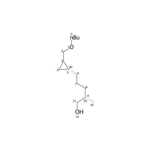 CCCCOCC1C[C@H]1CCC[C@H](C)CO